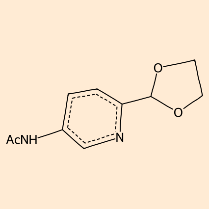 CC(=O)Nc1ccc(C2OCCO2)nc1